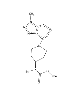 CCN(C(=O)OC(C)(C)C)C1CCN(c2cccc3c2nnn3C)CC1